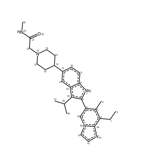 CCc1c(C)c(-c2[nH]c3ccc(C4CCN(CC(=O)NC)CC4)cc3c2C(C)C)cn2ccnc12